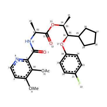 COc1ccnc(C(=O)N[C@@H](C)C(=O)O[C@@H](C)[C@H](Oc2ccc(F)cc2)C2CCCC2)c1OC(C)=O